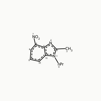 CCCn1c(C)nc2c([N+](=O)[O-])cccc21